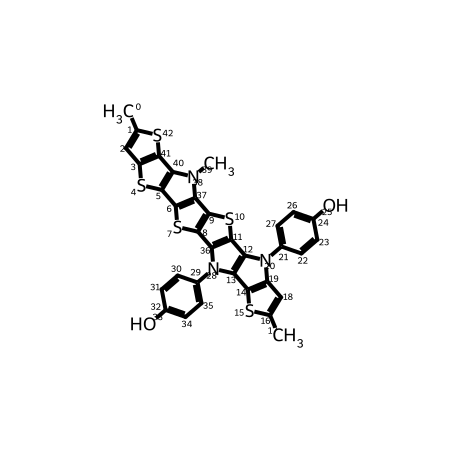 Cc1cc2sc3c4sc5c(sc6c7c(c8sc(C)cc8n7-c7ccc(O)cc7)n(-c7ccc(O)cc7)c56)c4n(C)c3c2s1